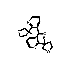 O=C(c1cccnc1C1(F)CCOC1)c1cccnc1C1(F)CCOC1